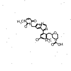 Cc1cc(Cl)cc(-c2ncnn3cc(Cn4c(=O)ccn(C)c4=O)cc23)c1CC1CN(C(=O)O)CCO1